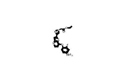 CCOC(=O)Cn1cnc(-c2cc3nccc(Oc4ccc(N)cc4F)c3s2)c1